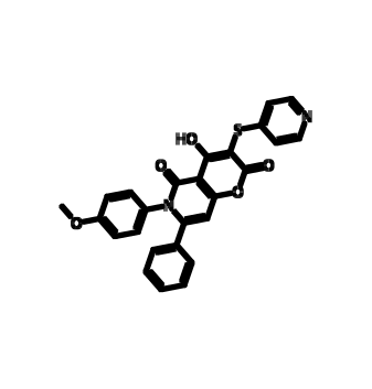 COc1ccc(-n2c(-c3ccccc3)cc3oc(=O)c(Sc4ccncc4)c(O)c3c2=O)cc1